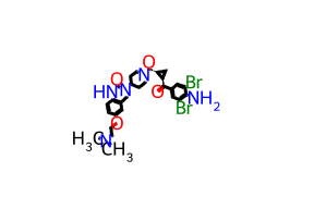 CN(C)CCOc1ccc2c(c1)CN(C1CCN(C(=O)[C@@H]3C[C@H]3C(=O)c3cc(Br)c(N)c(Br)c3)CC1)C(=O)N2